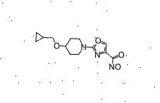 O=NC(=O)c1coc(N2CCC(OCC3CC3)CC2)n1